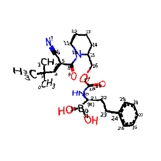 CC(C)(C)C=C(C#N)C(=O)N1CCCCC1COC(=O)N[C@@H](CCc1ccccc1)B(O)O